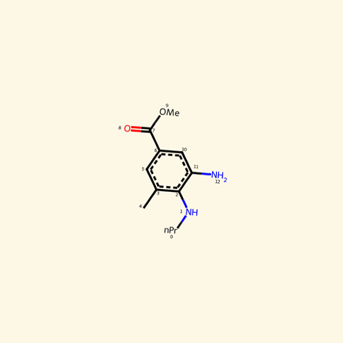 CCCNc1c(C)cc(C(=O)OC)cc1N